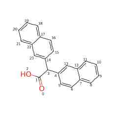 O=C(O)C(c1ccc2ccccc2c1)c1ccc2ccccc2c1